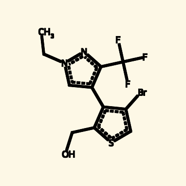 CCn1cc(-c2c(Br)csc2CO)c(C(F)(F)F)n1